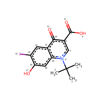 CC(C)(C)n1cc(C(=O)O)c(=O)c2cc(I)c(O)cc21